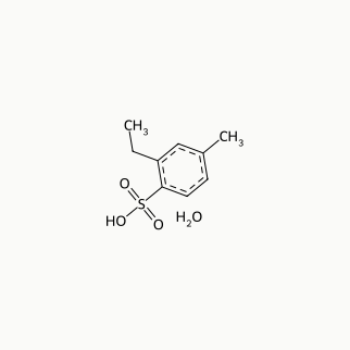 CCc1cc(C)ccc1S(=O)(=O)O.O